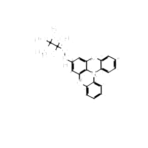 CC(C)(O)C(C)(C)OBc1cc2c3c(c1)Oc1ccccc1N3c1ccccc1O2